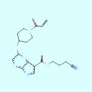 C=CC(=O)N1CCC(Oc2cnc3[nH]cc(C(=O)NCCCC#N)c3n2)CC1